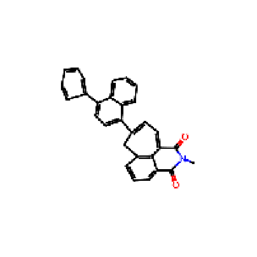 CN1C(=O)C2=CC=C(c3ccc(-c4ccccc4)c4ccccc34)Cc3cccc(c32)C1=O